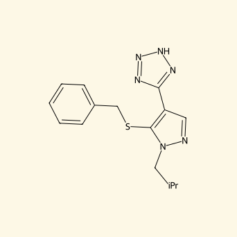 CC(C)Cn1ncc(-c2nn[nH]n2)c1SCc1ccccc1